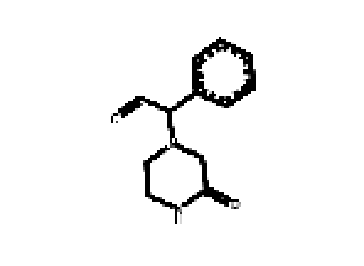 O=CC(c1ccccc1)N1CCNC(=O)C1